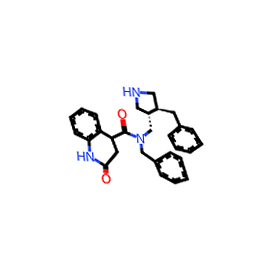 O=C1CC(C(=O)N(Cc2ccccc2)C[C@@H]2CNC[C@H]2Cc2ccccc2)c2ccccc2N1